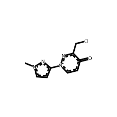 Cn1ccc(-n2ccc(=O)c(CCl)n2)n1